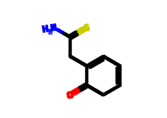 NC(=S)CC1=CC=CCC1=O